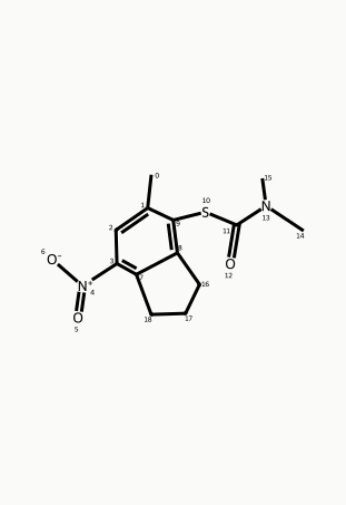 Cc1cc([N+](=O)[O-])c2c(c1SC(=O)N(C)C)CCC2